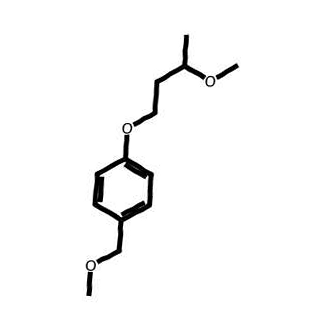 COCc1ccc(OCCC(C)OC)cc1